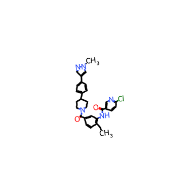 CCc1ccc(C(=O)N2CCC(c3ccc(-c4cnn(C)c4)cc3)CC2)cc1NC(=O)c1ccc(Cl)nc1